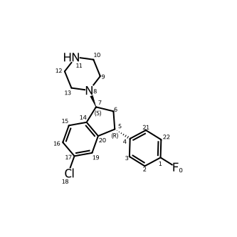 Fc1ccc([C@H]2C[C@H](N3CCNCC3)c3ccc(Cl)cc32)cc1